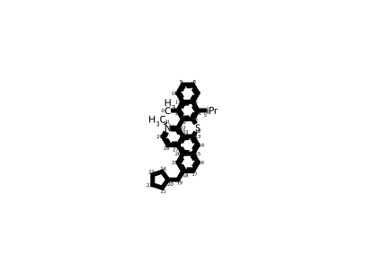 Cc1c2c(c(C(C)C)c3ccccc13)Sc1cc3ccc(CC4CCCC4)cc3c3cc[n+](C)c-2c13